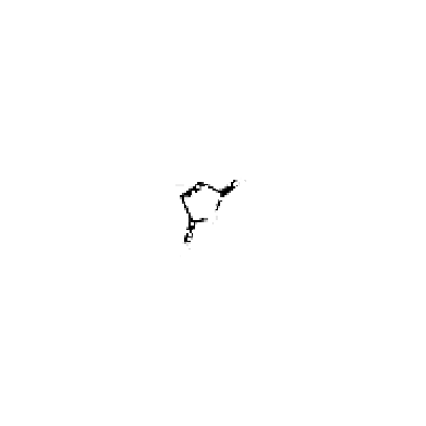 O=C1C=CC(=O)O1.[LiH]